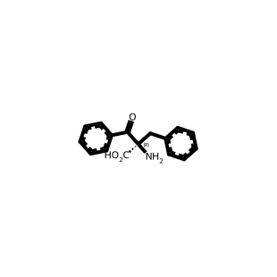 N[C@@](Cc1ccccc1)(C(=O)O)C(=O)c1ccccc1